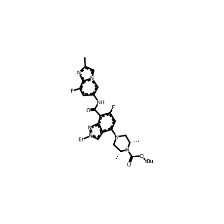 CCn1cc2c(N3C[C@@H](C)N(C(=O)OC(C)(C)C)[C@@H](C)C3)cc(F)c(C(=O)Nc3cc(F)c4nc(C)cn4c3)c2n1